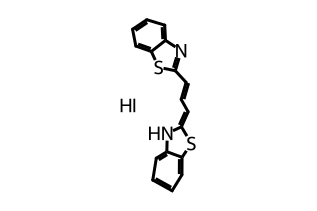 C(=Cc1nc2ccccc2s1)C=C1Nc2ccccc2S1.I